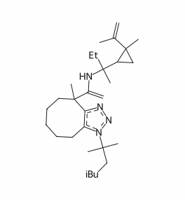 C=C(NC(C)(CC)C1CC1(C)C(=C)C)C1(C)CCCCCc2c1nnn2C(C)(C)CC(C)CC